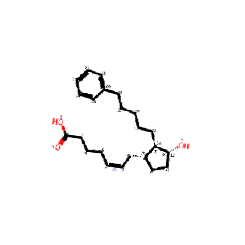 O=C(O)CCC/C=C\C[C@H]1CC[C@@H](O)[C@@H]1CCCCCc1ccccc1